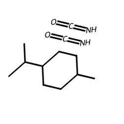 CC1CCC(C(C)C)CC1.N=C=O.N=C=O